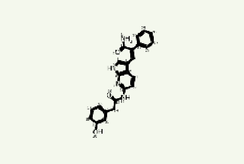 NC(=O)C(=Cc1c[nH]c2nc(NC(=O)Cc3cccc(O)c3)ccc12)c1ccccc1